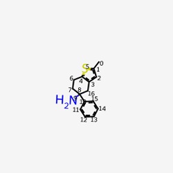 Cc1cc2c(s1)CCC(N)(c1ccccc1)C2